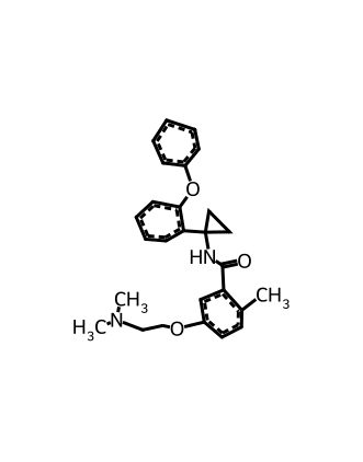 Cc1ccc(OCCN(C)C)cc1C(=O)NC1(c2ccccc2Oc2ccccc2)CC1